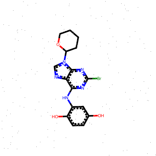 Oc1ccc(O)c(Nc2nc(Br)nc3c2ncn3C2CCCCO2)c1